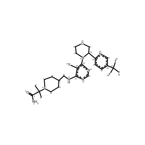 CC(C)(C(N)=O)N1CCC(CNc2ncnc(N3CCOCC3c3ccc(C(F)(F)F)cn3)c2F)CC1